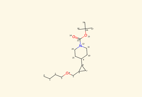 CCCCOCC1CC1C1CCN(C(=O)OC(C)(C)C)CC1